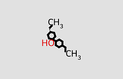 CCCC1CCC([C@]2(O)CC[C@@H](CCC)CC2)CC1